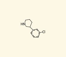 Clc1cccc(C2CCCNC2)c1